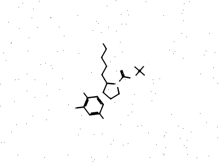 CCCCCC1CCCN1C(=O)OC(C)(C)C.Nc1ccc(Br)cc1N